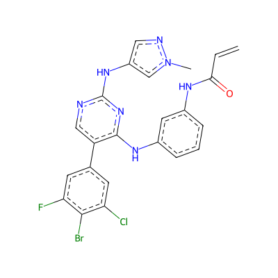 C=CC(=O)Nc1cccc(Nc2nc(Nc3cnn(C)c3)ncc2-c2cc(F)c(Br)c(Cl)c2)c1